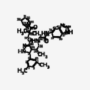 Cc1cc(C)cc(C2NN=C(OCC(C)(C)C(=O)N3C4CCC3CC4)C2[C@H](C)CNCC(=O)Nc2ccc3[nH]nnc3c2)c1